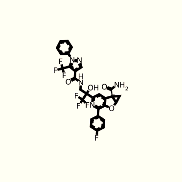 NC(=O)[C@@]12CC1Oc1c2cc(C(O)(CNC(=O)c2cnn(-c3ccccc3)c2C(F)(F)F)C(F)(F)F)nc1-c1ccc(F)cc1